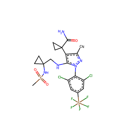 CS(=O)(=O)NC1(CNc2c(C3(C(N)=O)CC3)c(C#N)nn2-c2c(Cl)cc(S(F)(F)(F)(F)F)cc2Cl)CC1